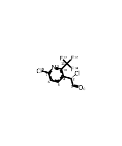 O=C[C@@H](Cl)c1ccc(Cl)nc1C(F)(F)F